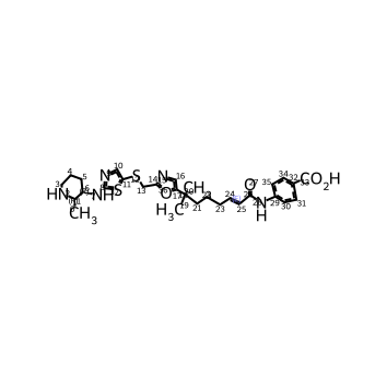 C[C@H]1NCCC[C@H]1Nc1ncc(SCc2ncc(C(C)(C)CCC/C=C/C(=O)Nc3ccc(C(=O)O)cc3)o2)s1